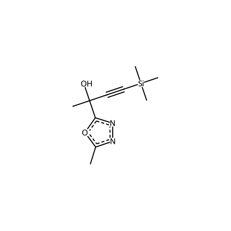 Cc1nnc(C(C)(O)C#C[Si](C)(C)C)o1